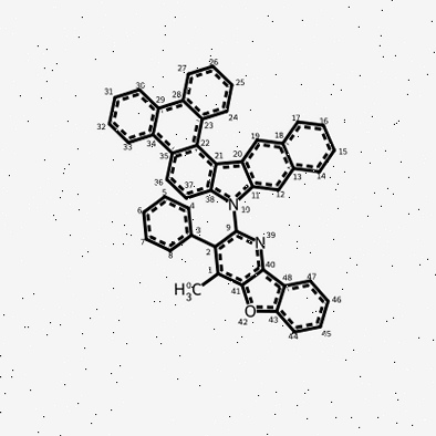 Cc1c(-c2ccccc2)c(-n2c3cc4ccccc4cc3c3c4c5ccccc5c5ccccc5c4ccc32)nc2c1oc1ccccc12